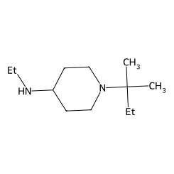 CCNC1CCN(C(C)(C)CC)CC1